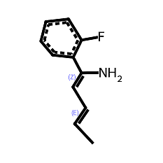 C/C=C/C=C(\N)c1ccccc1F